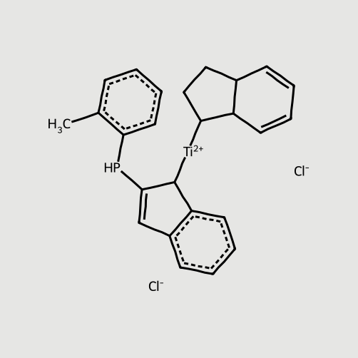 Cc1ccccc1PC1=Cc2ccccc2[CH]1[Ti+2][CH]1CCC2C=CC=CC21.[Cl-].[Cl-]